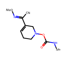 CCCNC(=O)ON1CCC=C(C(C#N)=NOC)C1